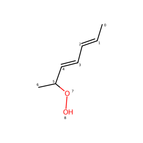 CC=CC=CC(C)OO